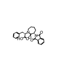 O=C(O)[C@@H](Cc1ccccc1)N1CCCC[C@H](N2C(=O)c3ccccc3C2=O)C1=O